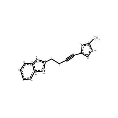 Cc1nc(C#CCCc2nc3ccccc3o2)cs1